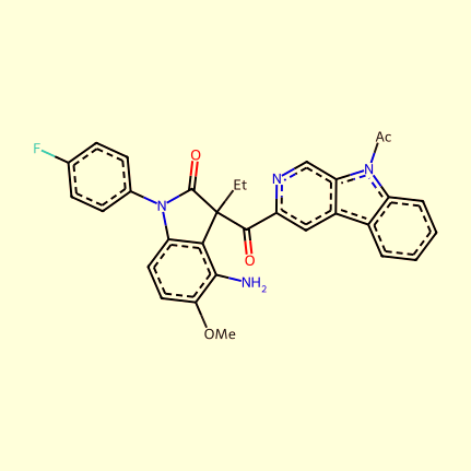 CCC1(C(=O)c2cc3c4ccccc4n(C(C)=O)c3cn2)C(=O)N(c2ccc(F)cc2)c2ccc(OC)c(N)c21